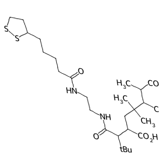 CC(C(=O)O)C(C(=O)O)C(C)(C)CC(C(=O)O)C(C(=O)NCCNC(=O)CCCCC1CCSS1)C(C)(C)C